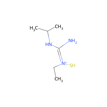 CC[N+](S)=C(N)NC(C)C